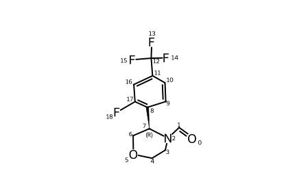 O=CN1CCOC[C@H]1c1ccc(C(F)(F)F)cc1F